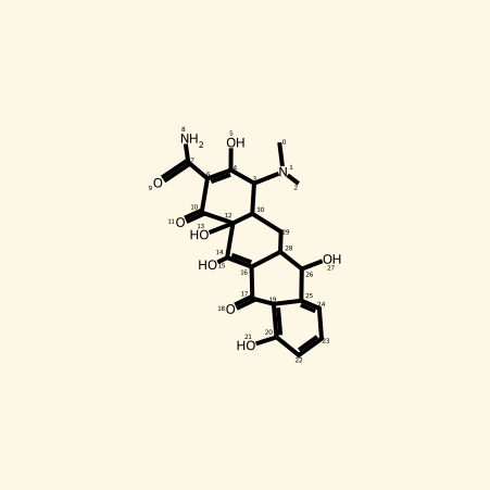 CN(C)C1C(O)=C(C(N)=O)C(=O)C2(O)C(O)=C3C(=O)c4c(O)cccc4C(O)C3CC12